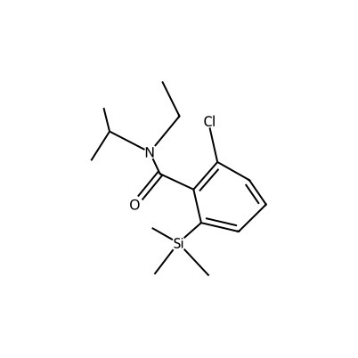 CCN(C(=O)c1c(Cl)cccc1[Si](C)(C)C)C(C)C